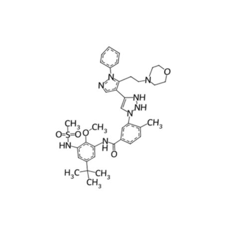 COc1c(NC(=O)c2ccc(C)c(N3C=C(c4cnn(-c5ccccc5)c4CCN4CCOCC4)NN3)c2)cc(C(C)(C)C)cc1NS(C)(=O)=O